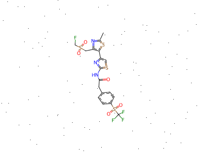 Cc1nc(CS(=O)(=O)CF)c(-c2csc(NC(=O)Cc3ccc(S(=O)(=O)C(F)(F)F)cc3)n2)s1